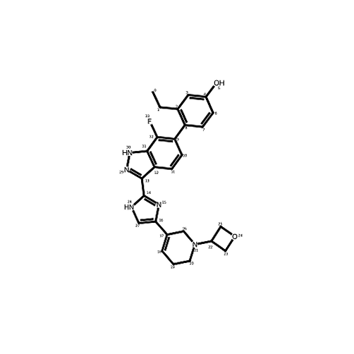 CCc1cc(O)ccc1-c1ccc2c(-c3nc(C4=CCCN(C5COC5)C4)c[nH]3)n[nH]c2c1F